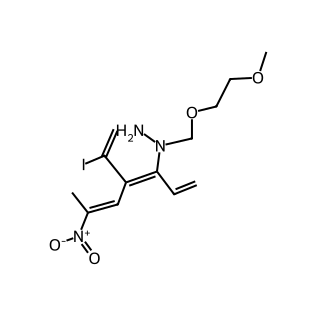 C=C/C(=C(\C=C(/C)[N+](=O)[O-])C(=C)I)N(N)COCCOC